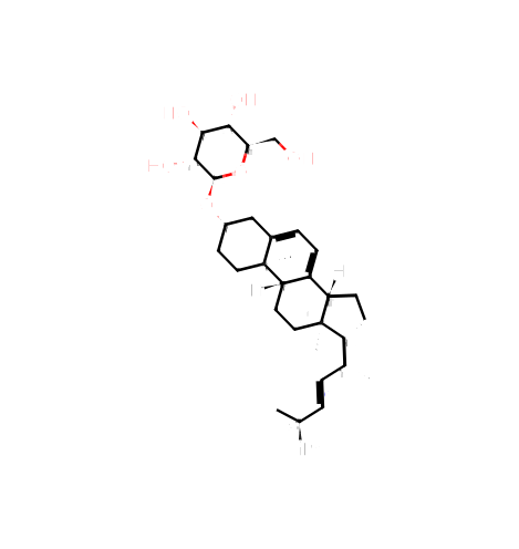 CC(C)[C@@H](C)/C=C/[C@@H](C)[C@H]1CC[C@H]2C3=CC=C4C[C@@H](O[C@@H]5O[C@H](CO)[C@@H](O)[C@H](O)[C@H]5O)CC[C@]4(C)[C@H]3CC[C@]12C